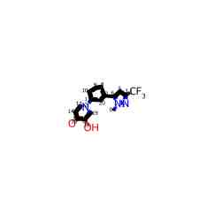 Cn1nc(C(F)(F)F)cc1-c1cccc(-n2ccc(=O)c(O)c2)c1